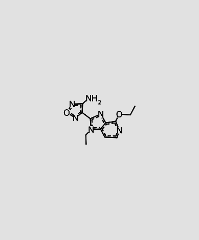 CCOc1nccc2c1nc(-c1nonc1N)n2CC